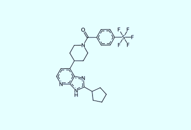 O=C(c1ccc(S(F)(F)(F)(F)F)cc1)N1CCC(c2ccnc3[nH]c(C4CCCC4)nc23)CC1